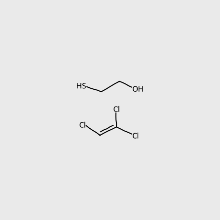 ClC=C(Cl)Cl.OCCS